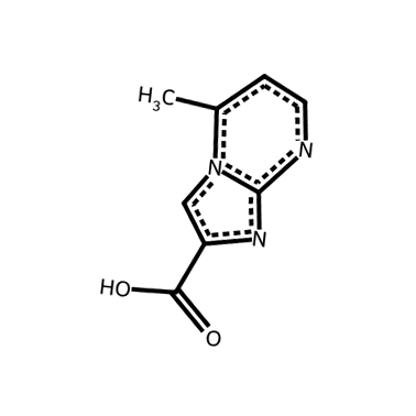 Cc1ccnc2nc(C(=O)O)cn12